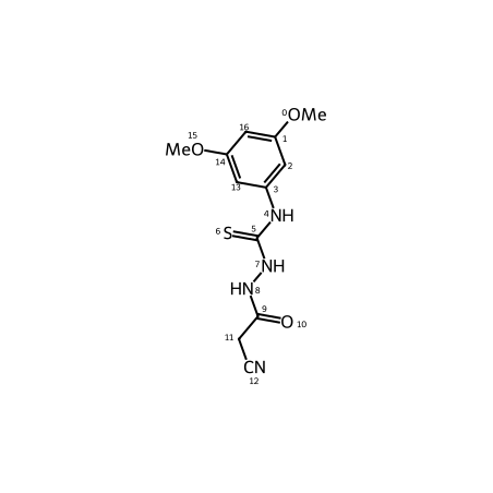 COc1cc(NC(=S)NNC(=O)CC#N)cc(OC)c1